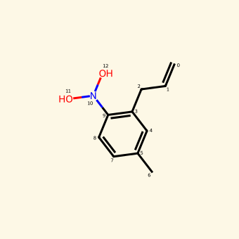 C=CCc1cc(C)ccc1N(O)O